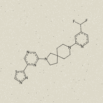 FC(F)c1ccnc(N2CCC3(CC2)CCN(c2cncc(-c4nncs4)n2)C3)c1